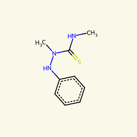 CNC(=S)N(C)Nc1ccccc1